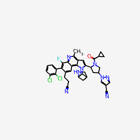 Cc1nc2c(F)c(-c3cccc(Cl)c3Cl)c(CCC#N)cc2c2c1cc(C1CC(n3cc(C#N)cn3)CN1C(=O)C1CC1)n2C1C2CNC1C2